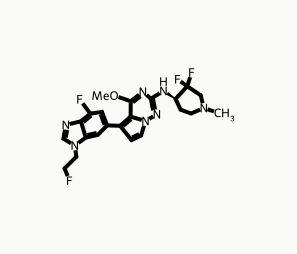 COc1nc(N[C@@H]2CCN(C)CC2(F)F)nn2ccc(-c3cc(F)c4ncn(CCF)c4c3)c12